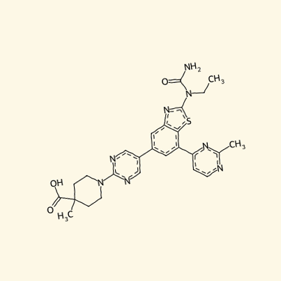 CCN(C(N)=O)c1nc2cc(-c3cnc(N4CCC(C)(C(=O)O)CC4)nc3)cc(-c3ccnc(C)n3)c2s1